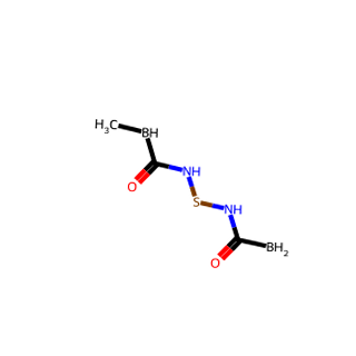 BC(=O)NSNC(=O)BC